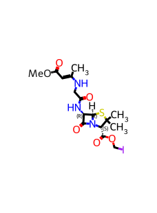 COC(=O)C=C(C)NCC(=O)N[C@@H]1C(=O)N2[C@@H]1SC(C)(C)[C@@H]2C(=O)OCI